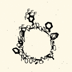 CC[C@H](C)[C@@H]1NC(=O)[C@H](CC)N(C)C(=O)C[C@@H](C(=O)N(C)C)N(C)C(=O)[C@H](C2CCCC2)N(C)C(=O)C2(CCC2)NC(=O)[C@@H]2CC(F)(F)CN2C(=O)[C@H](CCc2cc(F)c(C(F)(F)F)c(F)c2)NC(=O)CN(C)C(=O)[C@H](CC2CCCCC2)N2CC/C=C\C[C@@H](C2=O)N(C)C(=O)CN(C)C1=O